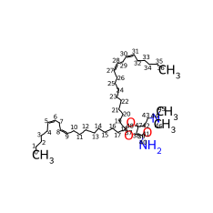 CCCCC/C=C\C/C=C\CCCCCCCCC1(CCCCCCCC/C=C\C/C=C\CCCCC)OC2C(N)OC(CN(C)C)C2O1